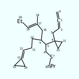 C=C=CCC1(C(CSCCC)C(CCC=C2CC2)C/C(C)=C/CC)CC1